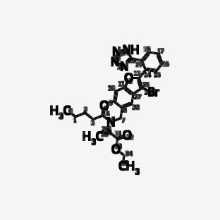 CCCCC(=O)N(Cc1ccc2oc(-c3ccccc3-c3nnn[nH]3)c(Br)c2c1)[C@@H](C)C(=O)OCC